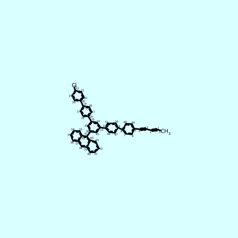 CC#CC#Cc1ccc(-c2ccc(-c3cc(-c4ccc(-c5ccc(Cl)cc5)cc4)cc(-c4c5ccccc5cc5ccccc45)c3)cc2)cc1